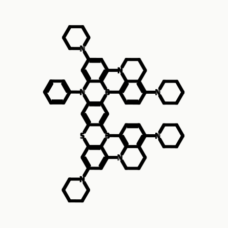 c1ccc(N2c3cc4c(cc3B3c5ccc(N6CCCCC6)c6c5N(CCC6)c5cc(N6CCCCC6)cc2c53)B2c3ccc(N5CCCCC5)c5c3N(CCC5)c3cc(N5CCCCC5)cc(c32)S4)cc1